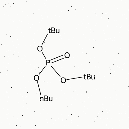 CCCCOP(=O)(OC(C)(C)C)OC(C)(C)C